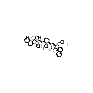 CCN1/C(=C/C=C2\CCCC(/C=C/C3=[N+](C)c4ccc5ccccc5c4C3(C)C)=C2Cl)C(C)(C)c2c1ccc1c2C=CCC1